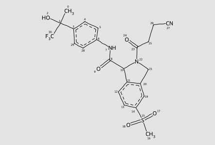 CC(O)(c1ccc(NC(=O)C2c3ccc(S(C)(=O)=O)cc3CN2C(=O)CCC#N)cc1)C(F)(F)F